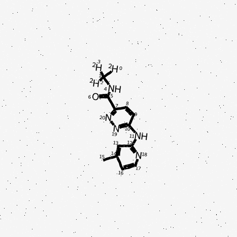 [2H]C([2H])([2H])NC(=O)c1ccc(Nc2cc(C)ccn2)nn1